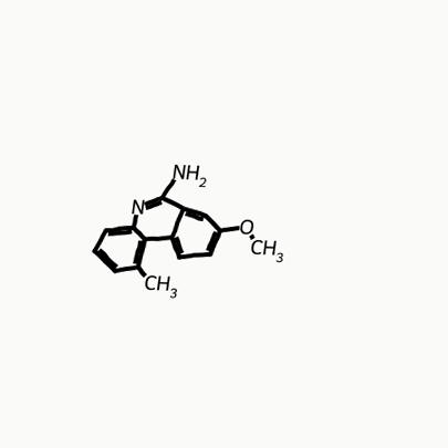 COc1ccc2c(c1)c(N)nc1cccc(C)c12